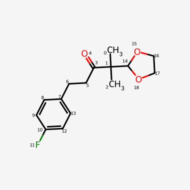 CC(C)(C(=O)CCc1ccc(F)cc1)C1OCCO1